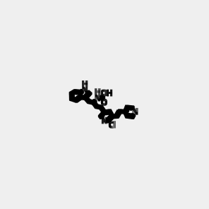 O=C(O)NC(CCc1cnc(Cl)c(C=Cc2ccncc2)c1)Cc1c[nH]c2ccccc12